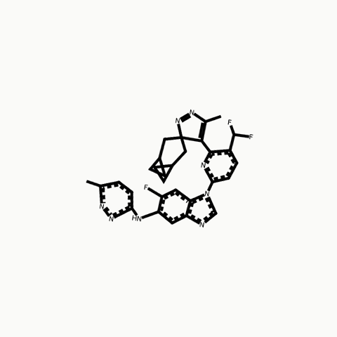 CC1=C(c2nc(-n3cnc4cc(Nc5ccc(C)nn5)c(F)cc43)ccc2C(F)F)C(CC2CC2)(CC2CC2)N=N1